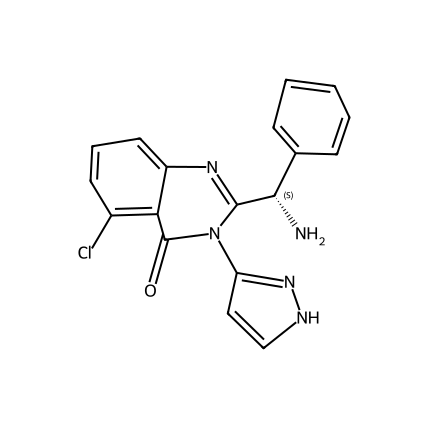 N[C@@H](c1ccccc1)c1nc2cccc(Cl)c2c(=O)n1-c1cc[nH]n1